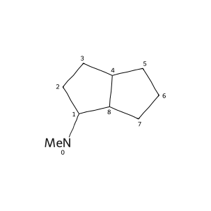 CNC1CCC2CCCC21